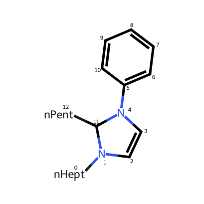 CCCCCCCN1C=CN(c2ccccc2)C1CCCCC